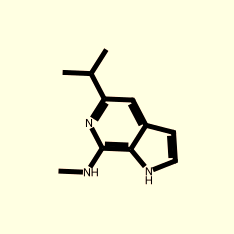 CNc1nc(C(C)C)cc2cc[nH]c12